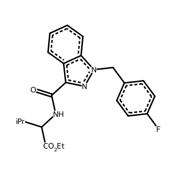 CCOC(=O)C(NC(=O)c1nn(Cc2ccc(F)cc2)c2ccccc12)C(C)C